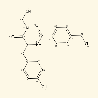 N#CCNC(=O)C(Cc1ccc(O)cc1)NC(=O)c1ccc(CCl)cc1